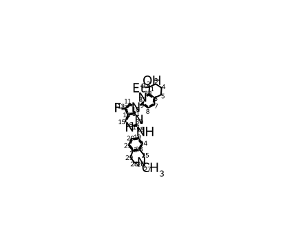 CCC1(O)CCCc2ccc(-n3cc(F)c4cnc(Nc5ccc6c(c5)CN(C)CC6)nc43)nc21